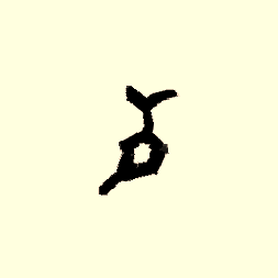 C=C(C)c1cc(C)cs1